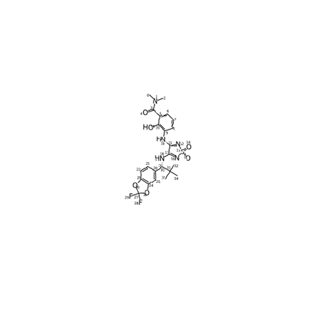 CN(C)C(=O)c1cccc(NC2=NS(=O)(=O)N=C2N[C@@H](c2ccc3c(c2)OC(F)(F)O3)C(C)(C)C)c1O